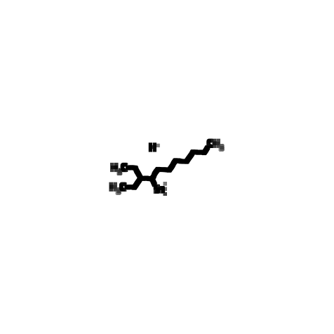 CCCCCCC[CH]([Sn])C(CC)CC.[H-]